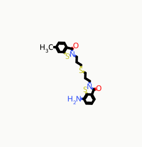 Cc1ccc2c(=O)n(CCCSCCCn3sc4c(N)cccc4c3=O)sc2c1